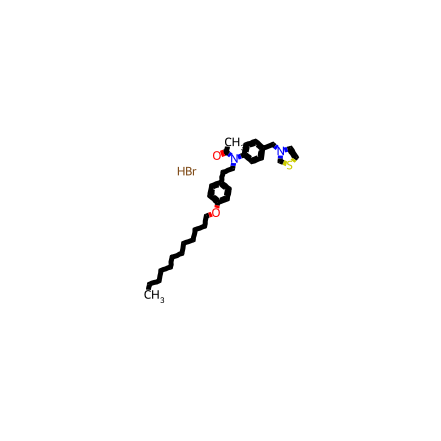 Br.CCCCCCCCCCCCOc1ccc(CCN(C(C)=O)c2ccc(CN3C=CSC3)cc2)cc1